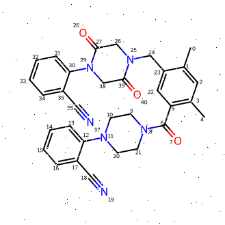 Cc1cc(C)c(C(=O)N2CCN(c3ccccc3C#N)CC2)cc1CN1CC(=O)N(c2ccccc2C#N)CC1=O